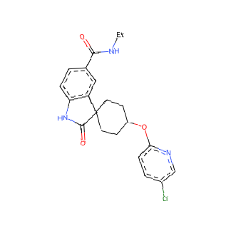 CCNC(=O)c1ccc2c(c1)C1(CCC(Oc3ccc(Cl)cn3)CC1)C(=O)N2